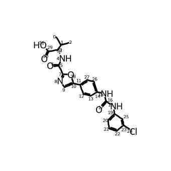 CC(C)[C@H](NC(=O)c1ncc(-c2ccc(NC(=O)Nc3cccc(Cl)c3)cc2)o1)C(=O)O